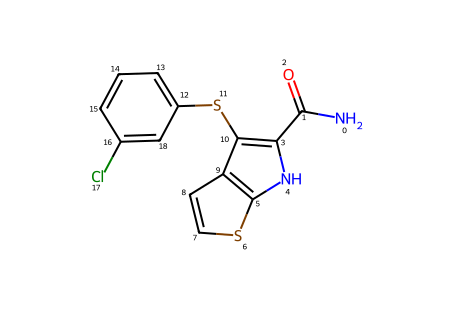 NC(=O)c1[nH]c2sccc2c1Sc1cccc(Cl)c1